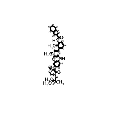 COC(C)(C)CN1CCN(C)[C@H](c2ccc(Nc3nc(-c4cccc(NC(=O)c5cc6c(s5)CCCC6)c4C)cn(C)c3=O)cc2)C1=O